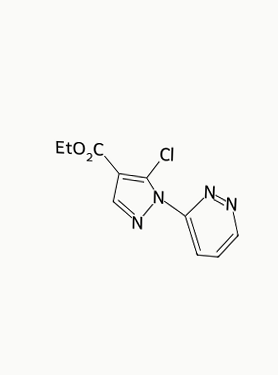 CCOC(=O)c1cnn(-c2cccnn2)c1Cl